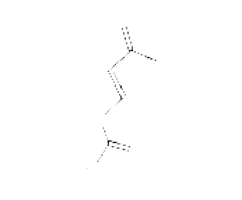 C=C(C)C=COC(=O)CC